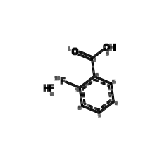 F.O=C(O)c1ccccc1F